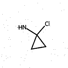 [NH]C1(Cl)CC1